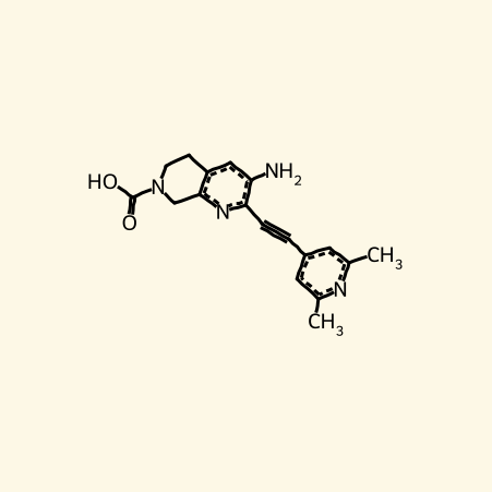 Cc1cc(C#Cc2nc3c(cc2N)CCN(C(=O)O)C3)cc(C)n1